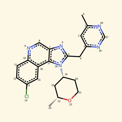 Cc1cc(Cc2nc3cnc4ccc(Cl)cc4c3n2[C@@H]2CCO[C@H](C)C2)ncn1